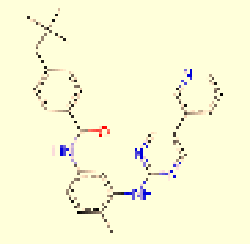 Cc1ccc(NC(=O)c2ccc(CC(C)(C)C)cc2)cc1Nc1ncc(-c2cccnc2)cn1